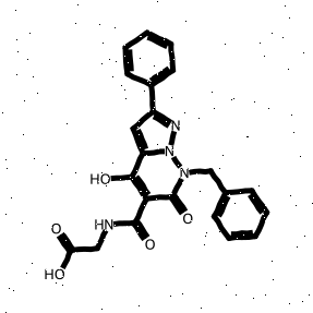 O=C(O)CNC(=O)c1c(O)c2cc(-c3ccccc3)nn2n(Cc2ccccc2)c1=O